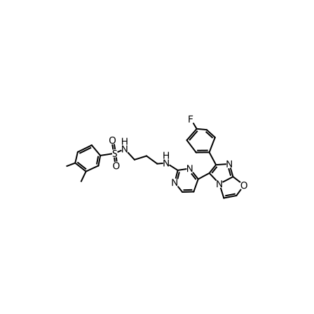 Cc1ccc(S(=O)(=O)NCCCNc2nccc(-c3c(-c4ccc(F)cc4)nc4occn34)n2)cc1C